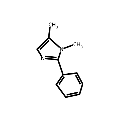 Cc1cnc(-c2ccccc2)n1C